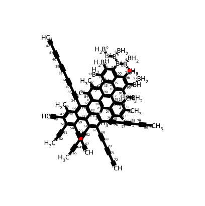 BBB(B)B(B(B)B)c1c(B)c(B)c(C)c2c(-c3c4c(C)c(C)c(C)c(C)c4c(C)c4c(-c5c(C#CC#CC#CC#CC#C)c6c(C)c(C#C)c(C#CC)c(C#CC#C)c6c6c(C#CC#CC)c(C#CC#CC#C)c(C#CC#CC#CC)cc56)c(C)c(C)c(C)c34)c(B(B)B)c(BB)c(B)c12